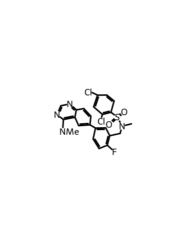 CNc1ncnc2ccc(-c3ccc(F)c(CN(C)S(=O)(=O)c4ccc(Cl)cc4Cl)c3)cc12